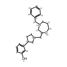 Oc1cccc(C2CCN(CC3CN(Cc4ccccc4)CCCO3)C2)c1